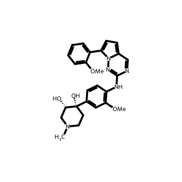 COc1cc([C@@]2(O)CCN(C)C[C@@H]2O)ccc1Nc1ncc2ccc(-c3ccccc3OC)n2n1